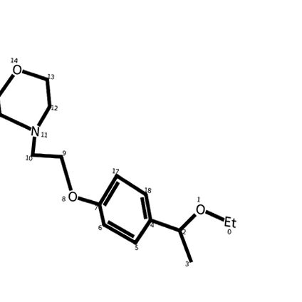 CCOC(C)c1ccc(OCCN2CCOCC2)cc1